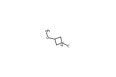 [CH2-][NH+]1CC(OCCC)C1